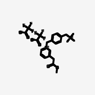 COC(=O)Cc1ccc[n+](Cc2ccc(C[N+](C)(C)C)cc2)c1.O=C([O-])C(F)(F)F.O=C([O-])C(F)(F)F